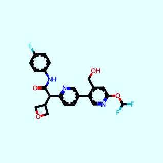 O=C(Nc1ccc(F)cc1)C(c1ccc(-c2cnc(OC(F)F)cc2CO)cn1)C1COC1